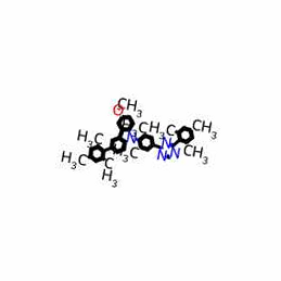 COc1ccc2c(c1)c1cc(-c3c(C)cc(C)cc3C)ccc1n2-c1c(C)cc(-c2ncnc(-c3c(C)cc(C)cc3C)n2)cc1C